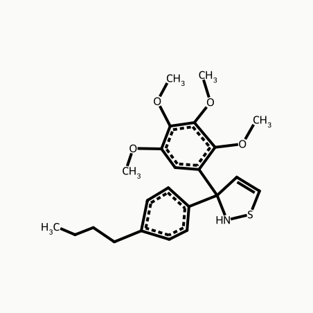 CCCCc1ccc(C2(c3cc(OC)c(OC)c(OC)c3OC)C=CSN2)cc1